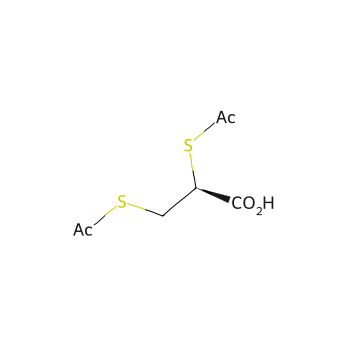 CC(=O)SC[C@@H](SC(C)=O)C(=O)O